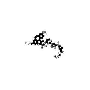 CCOC(=O)c1csc(NC(=O)CN(C)c2nccc(-n3cc(C4c5ccc(C)cc5C=Cc5cc(CC)ccc54)c(=O)[nH]c3=O)n2)n1